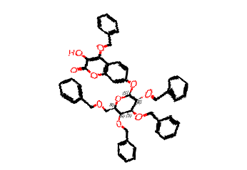 O=c1oc2cc(O[C@@H]3O[C@H](COCc4ccccc4)[C@H](OCc4ccccc4)[C@H](OCc4ccccc4)[C@H]3OCc3ccccc3)ccc2c(OCc2ccccc2)c1O